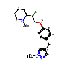 CCCN1CCCCC1C(Cl)COc1ccc(Cc2cnn(C)c2)cc1